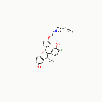 CCC1CN(CCOc2ccc(C3Oc4ccc(O)cc4C(C)=C3c3ccc(F)c(O)c3)cc2)C1